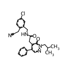 CC(C)Cn1ncc(-c2ccccc2)c(CC(=O)NCc2cc(Cl)ccc2CC#N)c1=O